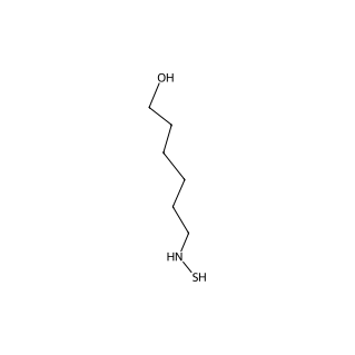 OCCCCCCNS